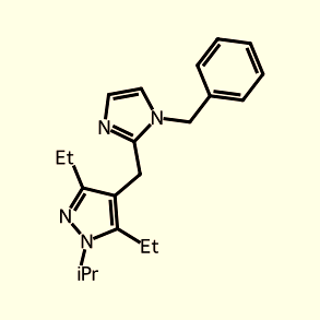 CCc1nn(C(C)C)c(CC)c1Cc1nccn1Cc1ccccc1